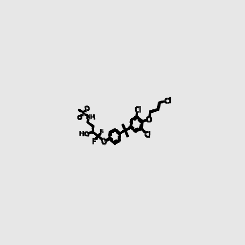 CC(C)(c1ccc(OC(F)(F)C(O)CCNS(C)(=O)=O)cc1)c1cc(Cl)c(OCCCCl)c(Cl)c1